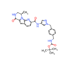 C[C@@H]1CNC(=O)c2cc3ccc(C(=O)Nc4cnn(Cc5ccc(CNC(=O)OC(C)(C)C)cc5)c4)nc3n21